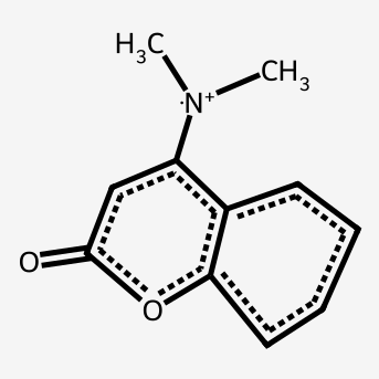 C[N+](C)c1cc(=O)oc2ccccc12